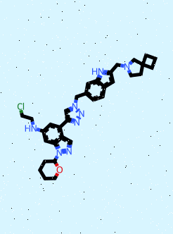 ClCCNc1cc(-c2cn(Cc3ccc4cc(CN5CCC6(CCC6)C5)[nH]c4c3)nn2)c2cnn(C3CCCCO3)c2c1